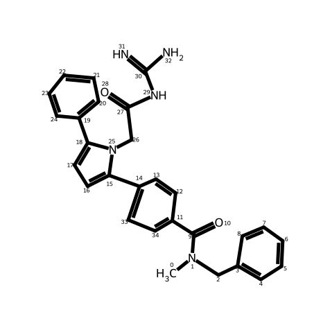 CN(Cc1ccccc1)C(=O)c1ccc(-c2ccc(-c3ccccc3)n2CC(=O)NC(=N)N)cc1